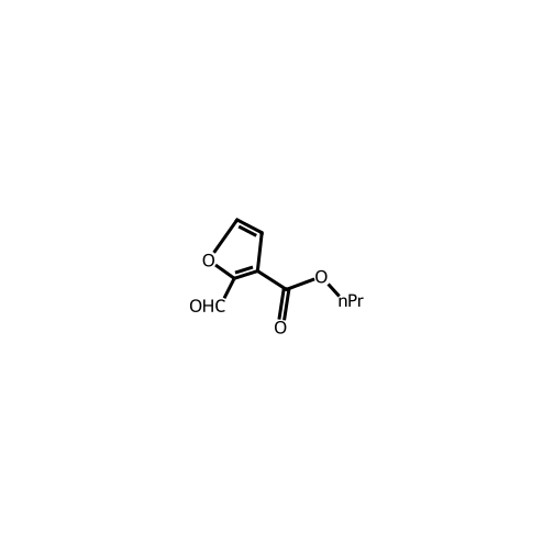 CCCOC(=O)c1ccoc1C=O